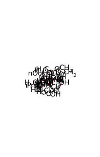 C=CCOC(=O)[C@H]1NC(=O)[C@H]2NC(=O)[C@H](NC(=O)[C@@H]3NC(=O)[C@H](CC(=O)NC(=O)NCCCCCCCC)NC(=O)[C@H](NC(=O)[C@@H](CC(C)C)N(C)C(=O)OCC=C)[C@H](O)c4ccc(c(Cl)c4)Oc4cc3cc(c4O)Oc3ccc(cc3Cl)[C@H]2O)c2ccc(OCC=C)c(c2)-c2c(OCC=C)cc(OCC=C)cc21